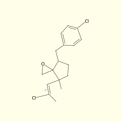 C/C(Cl)=C\C1(C)CCC(Cc2ccc(Cl)cc2)C12CO2